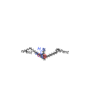 CCCCC/C=C\C/C=C\CCCCCCCCOCCN(C[C@H](C)OCCCCCCCC/C=C\C/C=C\CCCCC)C(=O)[C@@H](N)CCCN